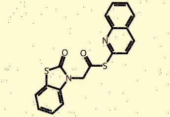 O=C(Cn1c(=O)sc2ccccc21)Sc1ccc2ccccc2n1